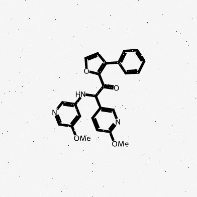 COc1cncc(NC(C(=O)c2occc2-c2ccccc2)c2ccc(OC)nc2)c1